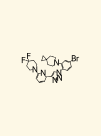 FC1(F)CCN(c2cccc(-c3cn(-c4ccc(Br)cc4N4CCC5(CC4)CC5)nn3)n2)CC1